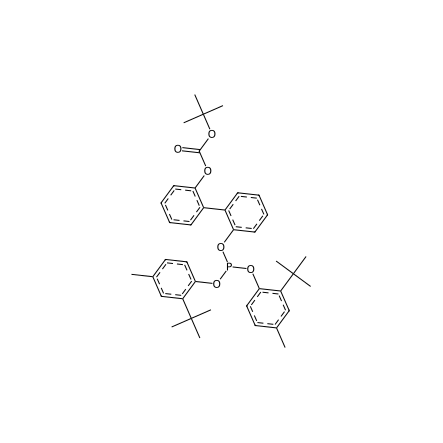 Cc1ccc(OP(Oc2ccccc2-c2ccccc2OC(=O)OC(C)(C)C)Oc2ccc(C)cc2C(C)(C)C)c(C(C)(C)C)c1